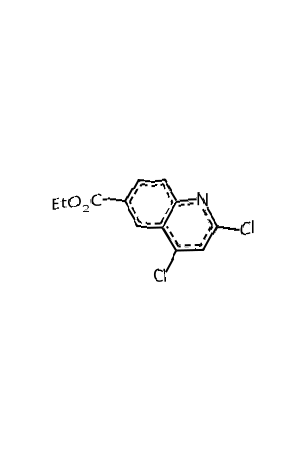 CCOC(=O)c1ccc2nc(Cl)cc(Cl)c2c1